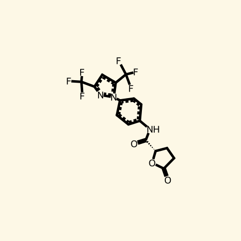 O=C1CC[C@@H](C(=O)Nc2ccc(-n3nc(C(F)(F)F)cc3C(F)(F)F)cc2)O1